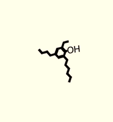 CCCCCCc1cc(CCCC)cc(CC)c1O